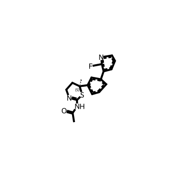 CC(=O)NC1=NCC[C@@](C)(c2cccc(-c3cccnc3F)c2)S1